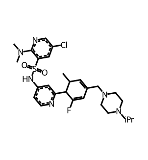 CC1C=C(CN2CCN(C(C)C)CC2)C=C(F)C1c1cc(NS(=O)(=O)c2cc(Cl)cnc2N(C)C)ccn1